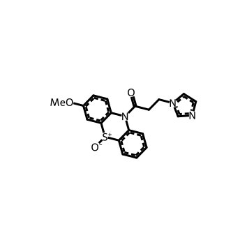 COc1ccc2c(c1)[S+]([O-])c1ccccc1N2C(=O)CCn1ccnc1